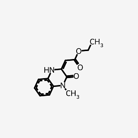 CCOC(=O)/C=C1/Nc2ccccc2N(C)C1=O